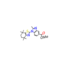 COC(=O)c1ccc2c(c1)nc(C)n2-c1nc2c(s1)C(C)(C)CCC2(C)C